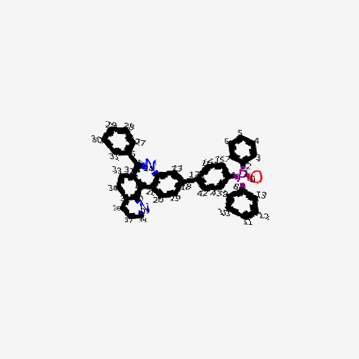 O=P(c1ccccc1)(c1ccccc1)c1ccc(-c2ccc3c(c2)nc(-c2ccccc2)c2ccc4cccnc4c23)cc1